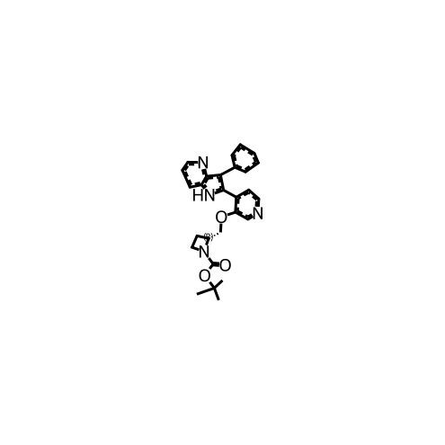 CC(C)(C)OC(=O)N1CC[C@@H]1COc1cnccc1-c1[nH]c2cccnc2c1-c1ccccc1